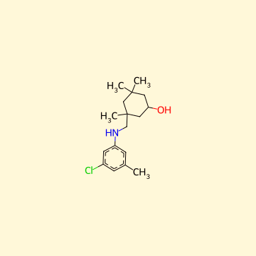 Cc1cc(Cl)cc(NCC2(C)CC(O)CC(C)(C)C2)c1